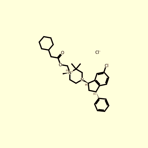 CC1(C)CN([C@@H]2C[C@@H](c3ccccc3)c3ccc(Cl)cc32)CC[N@+]1(C)COC(=O)CC1CCCCC1.[Cl-]